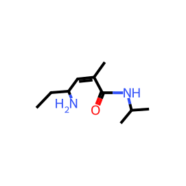 CCC(N)C=C(C)C(=O)NC(C)C